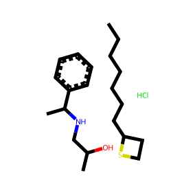 CC(O)CNC(C)c1ccccc1.CCCCCCCC1CCS1.Cl